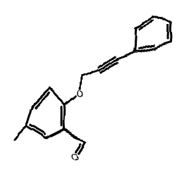 Cc1ccc(OCC#Cc2ccccc2)c(C=O)c1